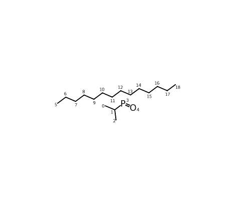 CC(C)P=O.CCCCCCCCCCCCCC